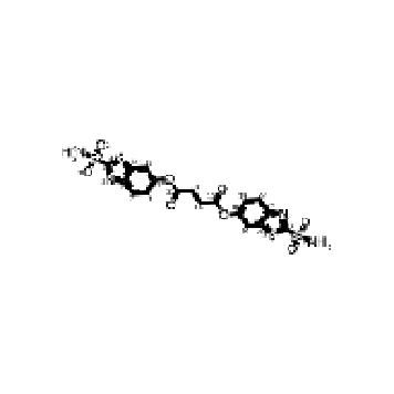 NS(=O)(=O)c1nc2ccc(OC(=O)CCC(=O)Oc3ccc4nc(S(N)(=O)=O)sc4c3)cc2s1